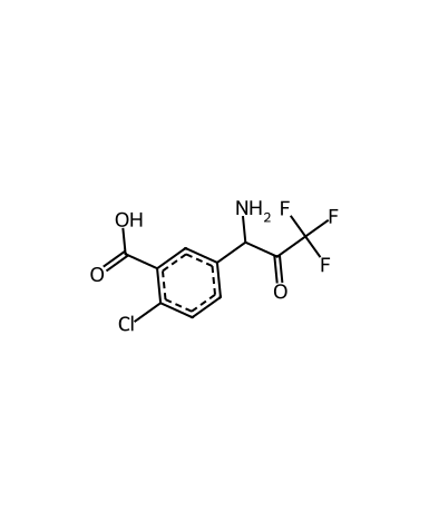 NC(C(=O)C(F)(F)F)c1ccc(Cl)c(C(=O)O)c1